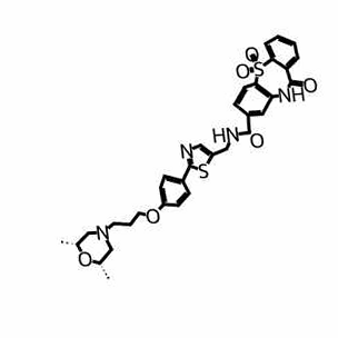 C[C@@H]1CN(CCCOc2ccc(-c3ncc(CNC(=O)c4ccc5c(c4)NC(=O)c4ccccc4S5(=O)=O)s3)cc2)C[C@H](C)O1